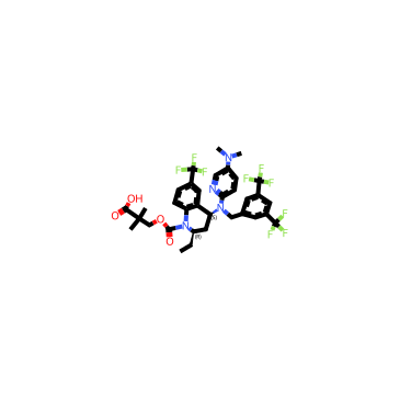 CC[C@@H]1C[C@H](N(Cc2cc(C(F)(F)F)cc(C(F)(F)F)c2)c2ccc(N(C)C)cn2)c2cc(C(F)(F)F)ccc2N1C(=O)OCC(C)(C)C(=O)O